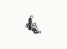 Cc1cc2c(cc1N1CC[C@H](NS(=O)(=O)c3ccc4cc(Cl)ccc4c3)C1=O)CCNC2.Cl